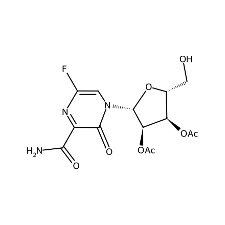 CC(=O)O[C@@H]1[C@H](OC(C)=O)[C@@H](CO)O[C@H]1n1cc(F)nc(C(N)=O)c1=O